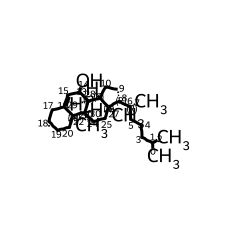 CC(C)CCC[C@@H](C)[C@H]1CC[C@H]2[C@@H]3C(O)C=C4C[CH]CC[C@]4(C)[C@H]3CC[C@]12C